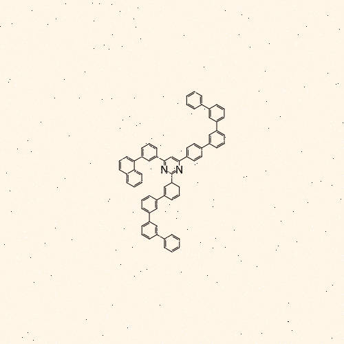 C1=CC(c2cccc(-c3cccc(-c4ccccc4)c3)c2)=CC(c2nc(-c3ccc(-c4cccc(-c5cccc(-c6ccccc6)c5)c4)cc3)cc(-c3cccc(-c4cccc5ccccc45)c3)n2)C1